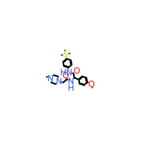 COc1ccc(C(NC(=O)CN2CCN(C)CC2)C(=O)Nc2ccc(S(C)(C)C)cc2)cc1